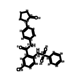 O=C(Nc1ccc(N2CCCC2=O)cc1)c1cc(Cl)ccc1NS(=O)(=O)c1ccccc1